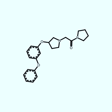 O=C(CN1CCC(Oc2cccc(Oc3ccccc3)c2)C1)N1CCCC1